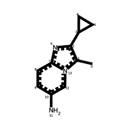 Cc1c(C2CC2)nc2ccc(N)cn12